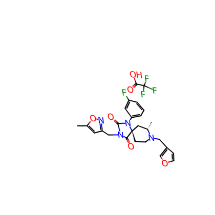 Cc1cc(CN2C(=O)N(c3cccc(F)c3)[C@@]3(CCN(Cc4ccoc4)[C@@H](C)C3)C2=O)no1.O=C(O)C(F)(F)F